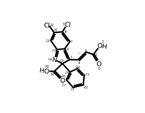 O=C(O)/C=C/C1=c2cc(Cl)c(Cl)cc2=NC1(C(=O)O)c1ccccc1